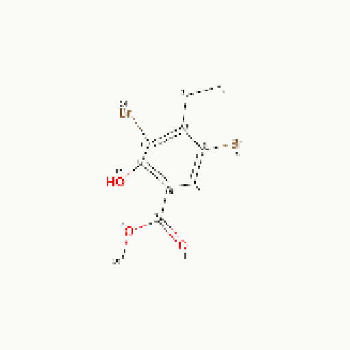 CCc1c(Br)cc(C(=O)OC)c(O)c1Br